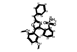 COc1ccc(OC)c(-c2oc(Cc3ccccc3)nc2-c2ccccc2S(N)(=O)=O)c1